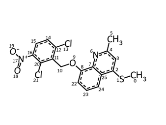 CSc1cc(C)nc2c(OCc3c(Cl)ccc([N+](=O)[O-])c3Cl)cccc12